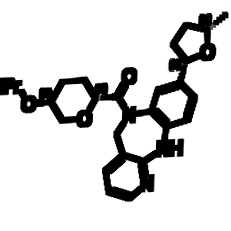 CC(C)O[C@H]1CC[C@H](C(=O)N2Cc3cccnc3Nc3ccc([C@@H]4CC[C@H](C)O4)cc32)OC1